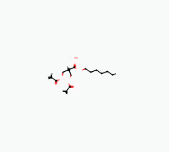 C=C(C)C(=O)OCC(C)(COC(=O)C(=C)C)C(=O)OCCCCCCS(=O)(=O)O.[KH]